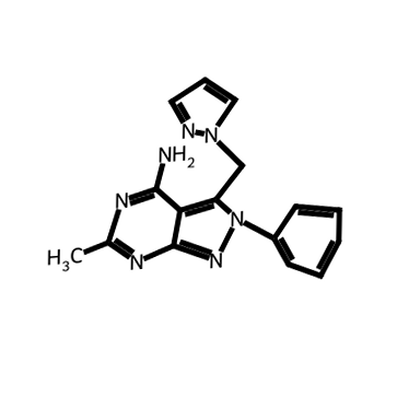 Cc1nc(N)c2c(Cn3cccn3)n(-c3ccccc3)nc2n1